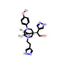 CCOc1ccc(N2C[C@]3(C(CO)c4cn[nH]c4)CN(CCc4cn[nH]c4)C[C@@H]2C(C)(C)C3)cc1